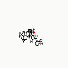 N#C[C@@H](C[C@H]1CCCNC1=O)NC(=O)[C@@H]1[C@@H]2CC[C@@H](CC2(F)F)N1C(=O)[C@H](CC1CC1)NC(=O)C(F)(F)F